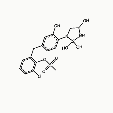 CS(=O)(=O)Oc1c(Cl)cccc1Cc1ccc(N2CC(O)NS2(O)O)c(O)c1